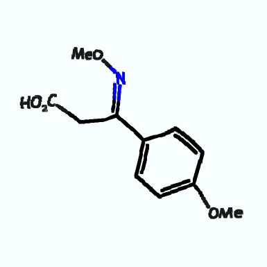 CO/N=C(\CC(=O)O)c1ccc(OC)cc1